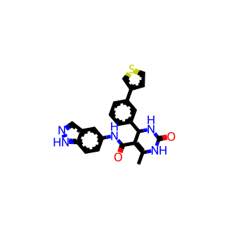 CC1=C(C(=O)Nc2ccc3[nH]ncc3c2)C(c2cccc(-c3ccsc3)c2)NC(=O)N1